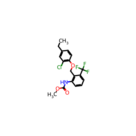 CCc1ccc(OCc2c(NC(=O)OC)cccc2C(F)(F)F)c(Cl)c1